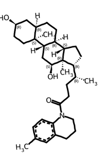 Cc1ccc2c(c1)CCCN2C(=O)CC[C@@H](C)[C@H]1CC[C@H]2[C@@H]3CC[C@@H]4C[C@H](O)CC[C@]4(C)[C@H]3C[C@H](O)[C@]12C